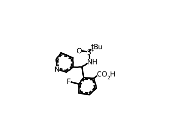 CC(C)(C)[S+]([O-])NC(c1cccnc1)c1c(F)cccc1C(=O)O